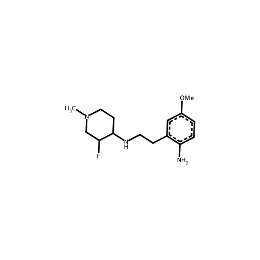 COc1ccc(N)c(CCNC2CCN(C)CC2F)c1